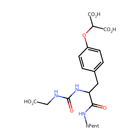 CCCCCNC(=O)C(Cc1ccc(OC(C(=O)O)C(=O)O)cc1)NC(=O)NCC(=O)O